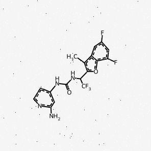 Cc1c(C(NC(=O)Nc2ccnc(N)c2)C(F)(F)F)oc2c(F)cc(F)cc12